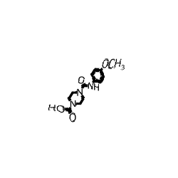 COc1ccc(NC(=O)N2CCN(C(=O)O)CC2)cc1